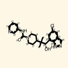 CC(C)(C1CCN(C(=O)Nc2cccnc2)CC1)[C@@H](O)c1cc(Cl)cc2cn[nH]c12